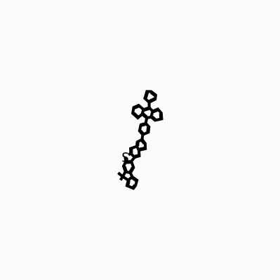 CC1(C)c2ccccc2-c2cc3c(cc21)sc1cc2cc(-c4ccc(-c5c6ccccc6c(-c6ccccc6)c6ccccc56)cc4)ccc2cc13